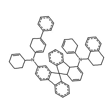 C1=CCCC(N(C2=CC=CC3C2c2ccccc2C32c3ccccc3-c3ccc(N(C4=CC=C(c5ccccc5)CC4)C4C=CCCC4)cc32)C2CCCc3ccccc32)=C1